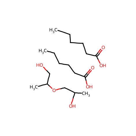 CC(O)COC(C)CO.CCCCCC(=O)O.CCCCCC(=O)O